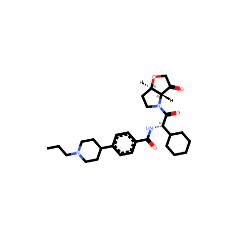 CCCN1CCC(c2ccc(C(=O)N[C@H](C(=O)N3CC[C@H]4OCC(=O)[C@@H]43)C3CCCCC3)cc2)CC1